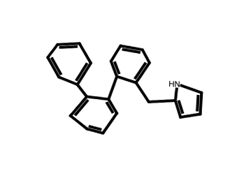 c1ccc(-c2ccccc2-c2ccccc2Cc2ccc[nH]2)cc1